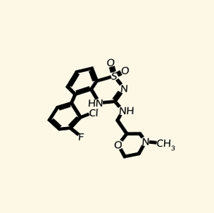 CN1CCOC(CNC2=NS(=O)(=O)c3cccc(-c4cccc(F)c4Cl)c3N2)C1